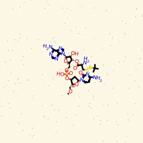 COC[C@H]1O[C@@H](n2ccc(N)nc2=O)C[C@@H]1OP(=O)(O)OC[C@H]1O[C@@H](n2cnc3c(N)ncnc32)[C@H](O)[C@@H]1OC(=O)[C@@H](N)CSSC(C)(C)C